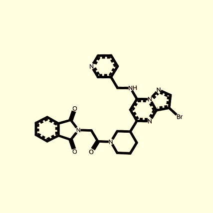 O=C(CN1C(=O)c2ccccc2C1=O)N1CCCC(c2cc(NCc3cccnc3)n3ncc(Br)c3n2)C1